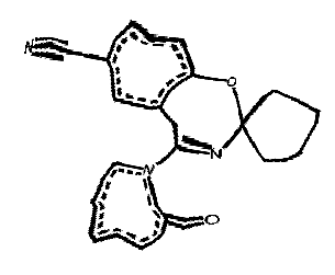 N#Cc1ccc2c(c1)C(n1ccccc1=O)=NC1(CCCC1)O2